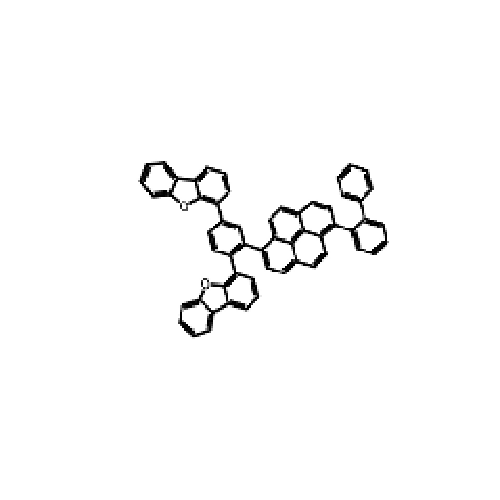 c1ccc(-c2ccccc2-c2ccc3ccc4c(-c5cc(-c6cccc7c6oc6ccccc67)ccc5-c5cccc6c5oc5ccccc56)ccc5ccc2c3c54)cc1